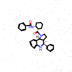 C[C@@]12CCN(C(=O)[C@H]3CCCC[C@H]3NC(=O)c3ccccc3)[C@@H]1c1ccccc1N[C@@H]2c1ccccc1